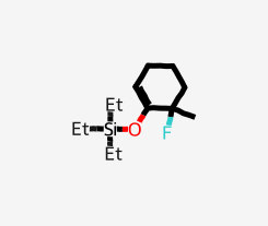 CC[Si](CC)(CC)OC1=CCCCC1(C)F